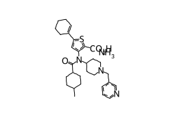 CC1CCC(C(=O)N(c2cc(C3=CCCCC3)sc2C(=O)O)C2CCN(Cc3cccnc3)CC2)CC1.N